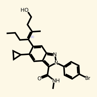 CCC/C(=C(/C)CCO)c1cc2nn(-c3ccc(Br)cc3)c(C(=O)NC)c2cc1C1CC1